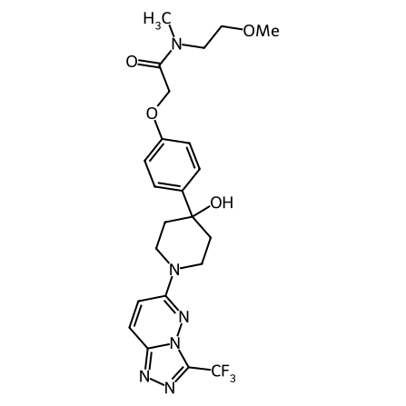 COCCN(C)C(=O)COc1ccc(C2(O)CCN(c3ccc4nnc(C(F)(F)F)n4n3)CC2)cc1